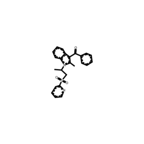 Cc1c(C(=O)c2ccccc2)c2ccccc2n1C(C)CS(=O)(=O)c1ccccn1